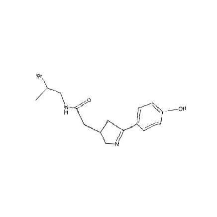 CC(C)C(C)CNC(=O)CC1CN=C(c2ccc(O)cc2)C1